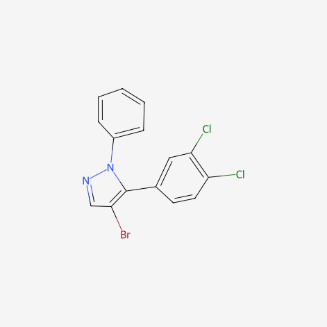 Clc1ccc(-c2c(Br)cnn2-c2ccccc2)cc1Cl